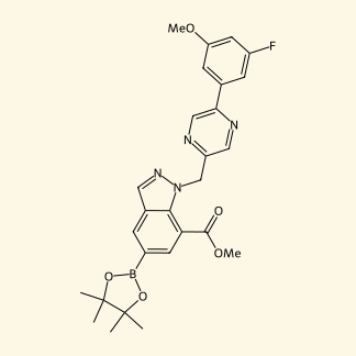 COC(=O)c1cc(B2OC(C)(C)C(C)(C)O2)cc2cnn(Cc3cnc(-c4cc(F)cc(OC)c4)cn3)c12